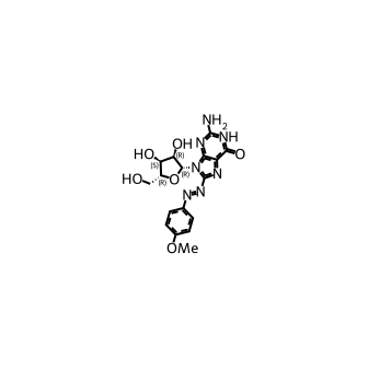 COc1ccc(N=Nc2nc3c(=O)[nH]c(N)nc3n2[C@@H]2O[C@H](CO)[C@@H](O)[C@H]2O)cc1